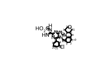 C[C@@H]1CC[C@H]2Cn3c(nc4nc(C(=N)NC(=O)O)nc(-c5cccc(Cl)c5)c43)N3C2=C1CC1COCCC13